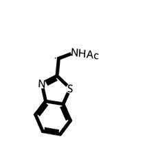 CC(=O)N[CH]c1nc2ccccc2s1